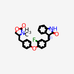 CN1C(=O)OCC1Cc1ccc(Oc2ccc(/C=C3/C(=O)Nc4ccccc43)cc2F)cc1